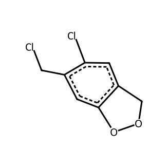 ClCc1cc2c(cc1Cl)COO2